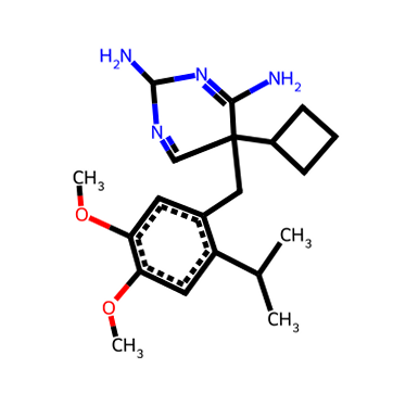 COc1cc(CC2(C3CCC3)C=NC(N)N=C2N)c(C(C)C)cc1OC